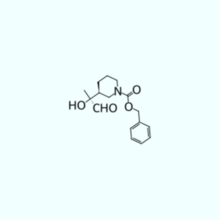 C[C@@](O)(C=O)[C@H]1CCCN(C(=O)OCc2ccccc2)C1